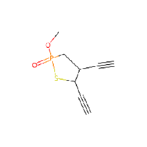 C#CC1CP(=O)(OC)SC1C#C